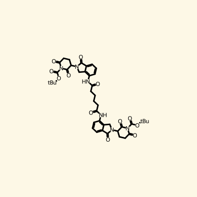 CC(C)(C)OC(=O)N1C(=O)CCC(N2Cc3c(NC(=O)CCCCC(=O)Nc4cccc5c4CN(C4CCC(=O)N(C(=O)OC(C)(C)C)C4=O)C5=O)cccc3C2=O)C1=O